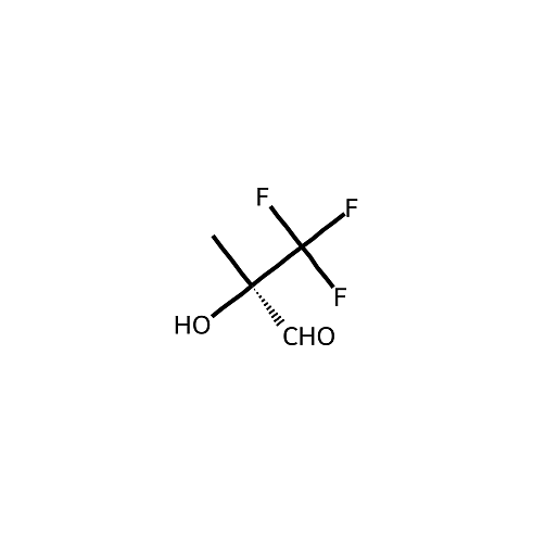 C[C@@](O)(C=O)C(F)(F)F